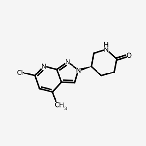 Cc1cc(Cl)nc2nn([C@@H]3CCC(=O)NC3)cc12